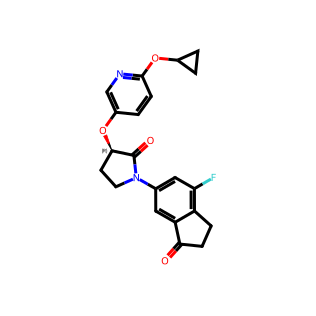 O=C1CCc2c(F)cc(N3CC[C@@H](Oc4ccc(OC5CC5)nc4)C3=O)cc21